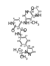 Cc1c(Nc2cc[nH]c(=O)c2C(=O)Nc2ccc(-c3ccnn3C(C)C)cc2)cnc2c1NCCO2